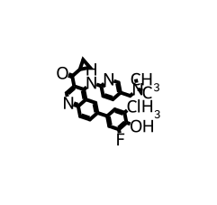 CN(C)Cc1ccc(Nc2c(C(=O)C3CC3)cnc3ccc(-c4cc(F)c(O)c(Cl)c4)cc23)nc1